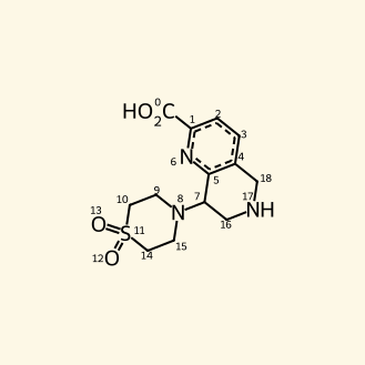 O=C(O)c1ccc2c(n1)C(N1CCS(=O)(=O)CC1)CNC2